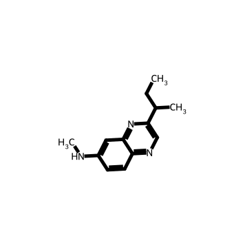 CCC(C)c1cnc2ccc(NC)cc2n1